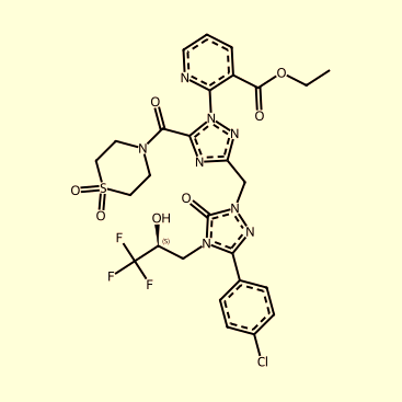 CCOC(=O)c1cccnc1-n1nc(Cn2nc(-c3ccc(Cl)cc3)n(C[C@H](O)C(F)(F)F)c2=O)nc1C(=O)N1CCS(=O)(=O)CC1